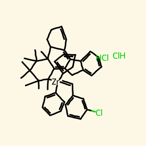 CC12C(=C3Cc4ccccc4C3=C3C=CCCC31)[C](C)([Zr](=[CH]c1cccc(Cl)c1)([C]1=CC=CC1)[c]1ccccc1)C(C)(C)C(C)(C)C2(C)C.Cl.Cl